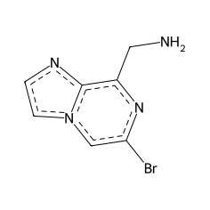 NCc1nc(Br)cn2ccnc12